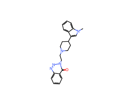 Cn1cc(C2CCN(CCn3nnc4ccccc4c3=O)CC2)c2ccccc21